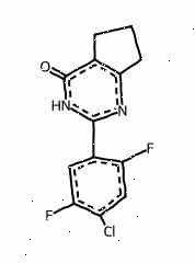 O=c1[nH]c(-c2cc(F)c(Cl)cc2F)nc2c1CCC2